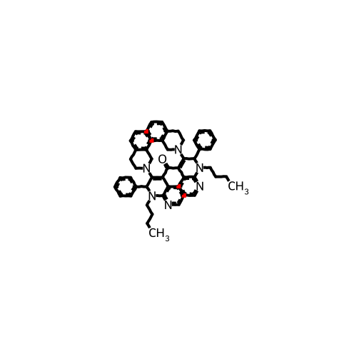 CCCCN1c2ncccc2C(C(=O)C2=C(N3CCc4ccccc4C3)C(c3ccccc3)N(CCCC)c3ncccc32)=C(N2CCc3ccccc3C2)C1c1ccccc1